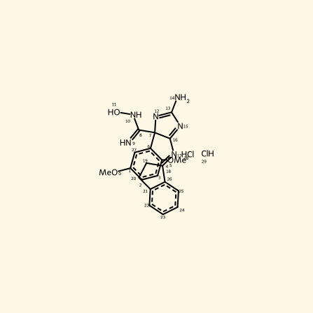 COc1ccc(OC)c(C2(C(=N)NO)N=C(N)N=C2N=C2CCc3ccccc32)c1.Cl.Cl